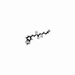 N#CCCNCC(=O)NCCc1ccc2c(c1)OCO2